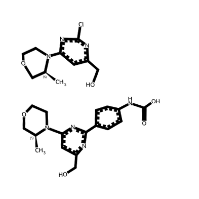 C[C@H]1COCCN1c1cc(CO)nc(-c2ccc(NC(=O)O)cc2)n1.C[C@H]1COCCN1c1cc(CO)nc(Cl)n1